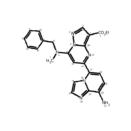 CCOC(=O)c1cnn2c(N(C)Cc3ccccc3)cc(-c3ccc(N)c4nccn34)nc12